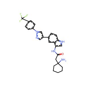 NC1(CC(=O)Nc2c[nH]c3ccc(-c4cnn(-c5ccc(C(F)(F)F)cc5)c4)cc23)CCCCC1